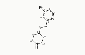 Fc1cccc(CCC2CCNCC2)c1